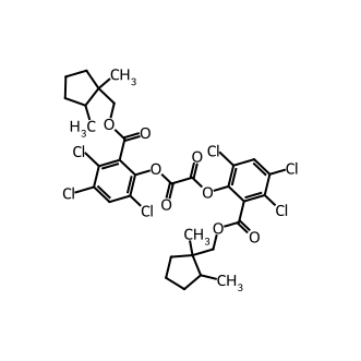 CC1CCCC1(C)COC(=O)c1c(Cl)c(Cl)cc(Cl)c1OC(=O)C(=O)Oc1c(Cl)cc(Cl)c(Cl)c1C(=O)OCC1(C)CCCC1C